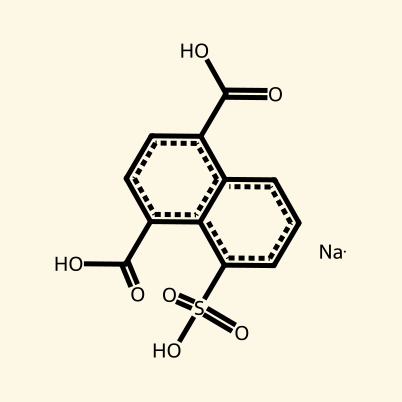 O=C(O)c1ccc(C(=O)O)c2c(S(=O)(=O)O)cccc12.[Na]